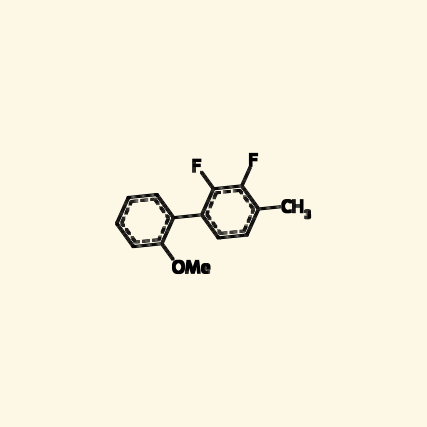 COc1ccccc1-c1ccc(C)c(F)c1F